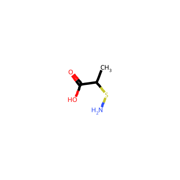 CC(SN)C(=O)O